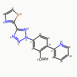 COc1cc(-n2nnc(-c3nccs3)n2)ccc1-c1ccccn1